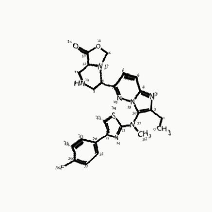 CCc1nc2ccc(C3CNCC4C(=O)OCN43)nn2c1N(C)c1nc(-c2ccc(F)cc2)cs1